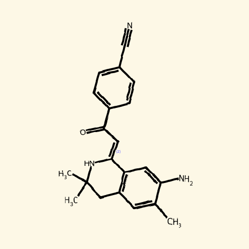 Cc1cc2c(cc1N)/C(=C/C(=O)c1ccc(C#N)cc1)NC(C)(C)C2